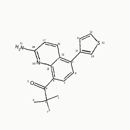 CC(C)(C)C(=O)c1ccc(-c2ccsc2)c2ccc(N)nc12